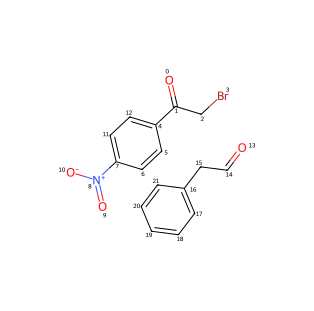 O=C(CBr)c1ccc([N+](=O)[O-])cc1.O=CCc1ccccc1